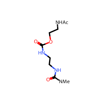 CNC(=O)NCCNC(=O)OCCNC(C)=O